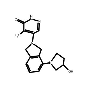 O=c1[nH]ncc(N2Cc3cccc(N4CCC(O)C4)c3C2)c1C(F)(F)F